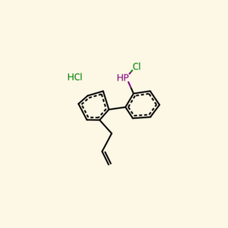 C=CCc1ccccc1-c1ccccc1PCl.Cl